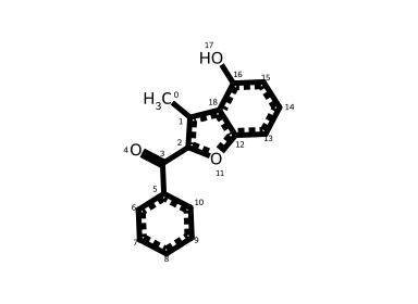 Cc1c(C(=O)c2ccccc2)oc2cccc(O)c12